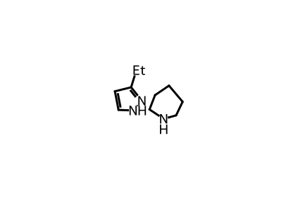 C1CCNCC1.CCc1cc[nH]n1